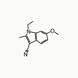 CCn1c(C)c(C#N)c2ccc(OC)cc21